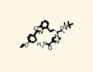 CCOc1ccc(-c2nc3c(CC[C@H]([C@H](C)O[Si](C)(C)C(C)(C)C)n4cnc(C(N)=O)c4)cccc3o2)cc1